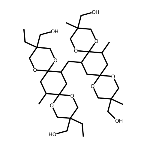 CCC1(CO)COC2(CC(CC3CC4(CC(C)C35OCC(C)(CO)CO5)OCC(C)(CO)CO4)C3(CC2C)OCC(CC)(CO)CO3)OC1